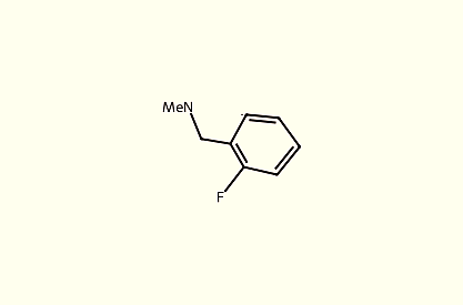 CNCc1[c]cccc1F